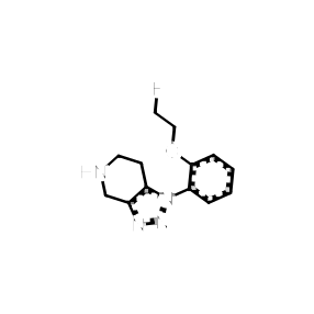 FCCOc1ccccc1-n1nnc2c1CCNC2